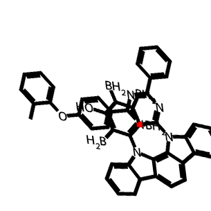 BC1=C(O)C(B)C(B)C(B)=C1N1C2=CC=CCC2c2ccc3c4ccccc4n(-c4nc(-c5ccccc5)nc(-c5ccc(Oc6ccccc6C)cc5)n4)c3c21